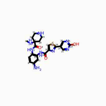 CNC1(C(=O)Nc2ccc(N)cc2NC(=O)c2csc(-c3cnc(O)nc3)n2)CCNCC1